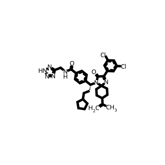 C=C(C)C1CCC2(CC1)N=C(c1cc(Cl)cc(Cl)c1)C(=O)N2[C@H](CCC1CCCC1)c1ccc(C(=O)NCc2nn[nH]n2)cc1